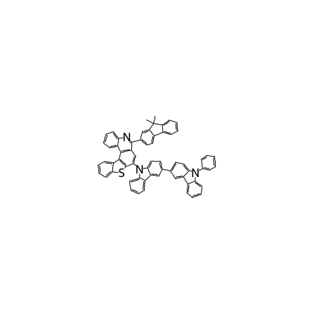 CC1(C)c2ccccc2-c2ccc(-c3nc4ccccc4c4c3cc(-n3c5ccccc5c5cc(-c6ccc7c(c6)c6ccccc6n7-c6ccccc6)ccc53)c3sc5ccccc5c34)cc21